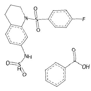 O=C(O)c1ccccc1.O=[SH](=O)Nc1ccc2c(c1)N(S(=O)(=O)c1ccc(F)cc1)CCC2